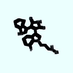 CCNCCCn1cc(C2=C(c3c[nH]c4ccccc34)C(=O)NC2=O)c2cccc(F)c21